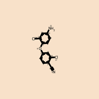 N#Cc1ccc(Oc2ccc(N)cc2Cl)cc1Cl